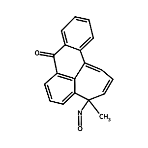 CC1(N=O)C=CC=C2c3ccccc3C(=O)c3cccc1c32